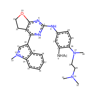 CC(=O)Nc1cc(Nc2nc3c(c(-c4cn(C)c5ccccc45)n2)CCO3)ccc1N(C)CCN(C)C